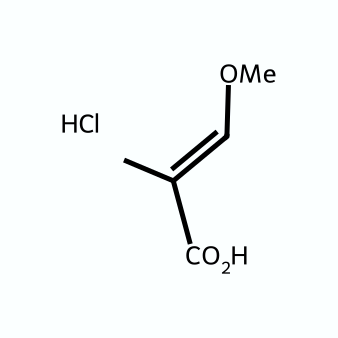 COC=C(C)C(=O)O.Cl